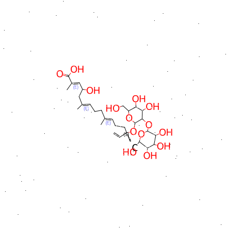 C=C[C@](C)(CC/C=C(\C)CC/C=C(\C)CC(O)/C=C(\C)C(=O)O)OC1OC(CO)C(O)C(O)C1OC1OC(CO)C(O)C(O)C1O